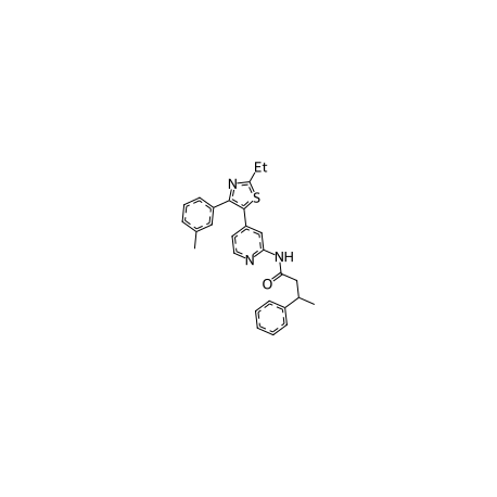 CCc1nc(-c2cccc(C)c2)c(-c2ccnc(NC(=O)CC(C)c3ccccc3)c2)s1